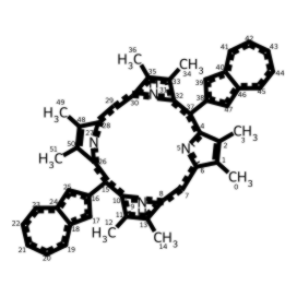 CC1=C(C)c2nc1cc1[nH]c(c(C)c1C)c(-c1cc3cccccc-3c1)c1nc(cc3[nH]c(c(C)c3C)c2-c2cc3cccccc-3c2)C(C)=C1C